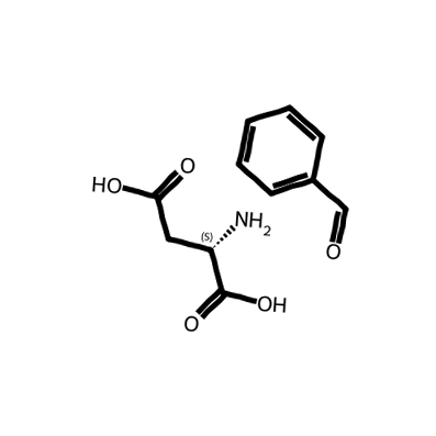 N[C@@H](CC(=O)O)C(=O)O.O=Cc1ccccc1